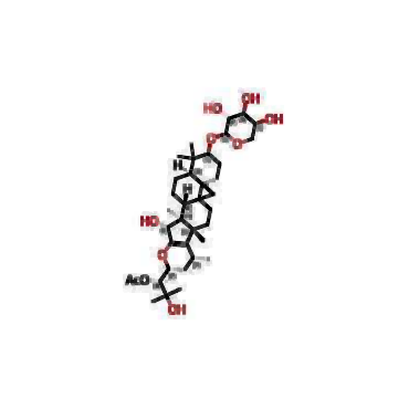 CC(=O)O[C@H]([C@H]1C[C@@H](C)C2=C(O1)[C@H](O)[C@@]1(C)[C@@H]3CC[C@H]4C(C)(C)[C@@H](O[C@@H]5OC[C@H](O)[C@H](O)[C@H]5O)CC[C@@]45CC35CC[C@]21C)C(C)(C)O